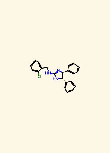 Clc1ccccc1CNC1=N[C@@H](c2ccccc2)[C@H](c2ccccc2)N1